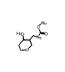 CC(C)(C)OC(=O)NCC1COCCC1O